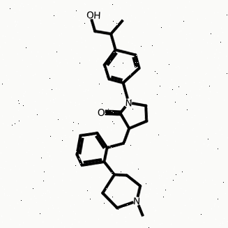 CC(CO)c1ccc(N2CCC(Cc3ccccc3C3CCN(C)CC3)C2=O)cc1